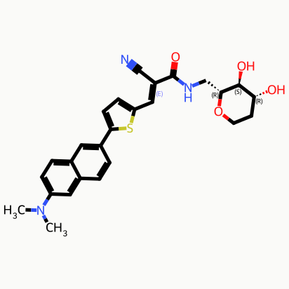 CN(C)c1ccc2cc(-c3ccc(/C=C(\C#N)C(=O)NC[C@H]4OCC[C@@H](O)[C@@H]4O)s3)ccc2c1